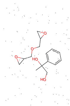 C(OCC1CO1)C1CO1.CC(O)(CO)c1ccccc1